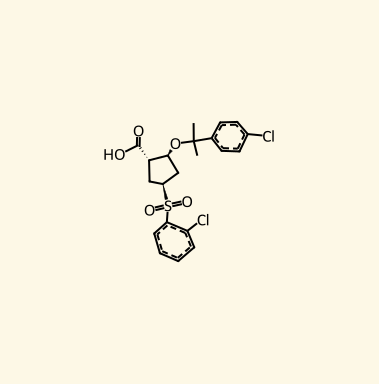 CC(C)(O[C@H]1C[C@@H](S(=O)(=O)c2ccccc2Cl)C[C@@H]1C(=O)O)c1ccc(Cl)cc1